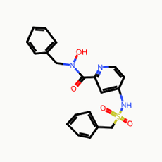 O=C(c1cc(NS(=O)(=O)Cc2ccccc2)ccn1)N(O)Cc1ccccc1